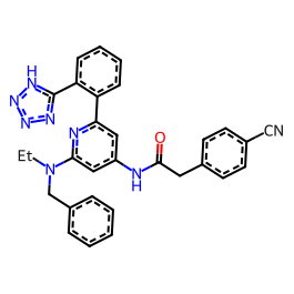 CCN(Cc1ccccc1)c1cc(NC(=O)Cc2ccc(C#N)cc2)cc(-c2ccccc2-c2nnn[nH]2)n1